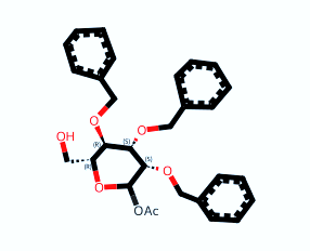 CC(=O)OC1O[C@H](CO)[C@@H](OCc2ccccc2)[C@H](OCc2ccccc2)[C@@H]1OCc1ccccc1